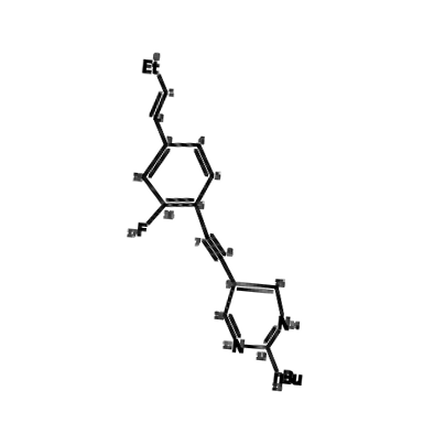 CC/C=C/c1ccc(C#Cc2cnc(CCCC)nc2)c(F)c1